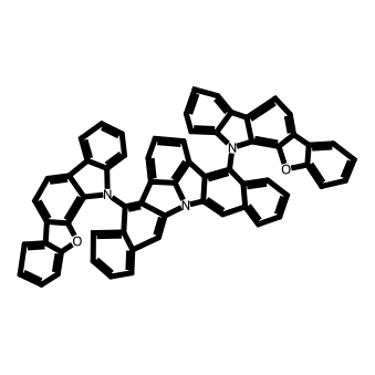 c1ccc2c(-n3c4ccccc4c4ccc5c6ccccc6oc5c43)c3c4cccc5c6c(-n7c8ccccc8c8ccc9c%10ccccc%10oc9c87)c7ccccc7cc6n(c3cc2c1)c45